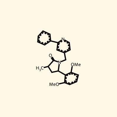 COc1cccc(OC)c1C1CC(C)C(=O)N1Cc1ccnc(-c2ccccc2)c1